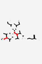 C=C(CC)CCSP(OC(C)CSP(OC(C)CC(C)C)OC(C)CC(C)C)OC(C)CSP(OC(C)CC(C)C)OC(C)CC(C)C